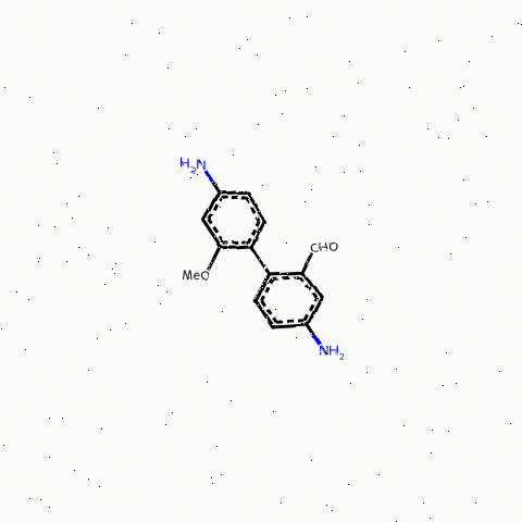 COc1cc(N)ccc1-c1ccc(N)cc1C=O